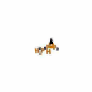 P[PH]1=PC1